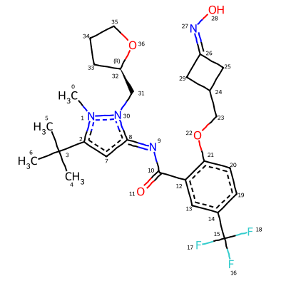 Cn1c(C(C)(C)C)cc(=NC(=O)c2cc(C(F)(F)F)ccc2OCC2CC(=NO)C2)n1C[C@H]1CCCO1